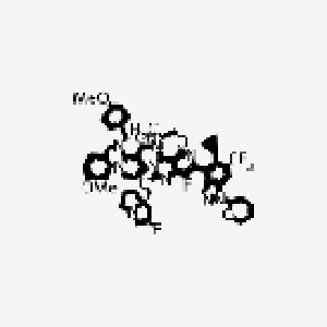 COc1ccc(CN(Cc2ccc(OC)cc2)c2ncccc2[C@@H](C)N2c3nc(OC[C@@]45CCCN4C[C@H](F)C5)nc4c(F)c(-c5c(C6CC6)c(C(F)(F)F)cc6c5cnn6C5CCCCO5)nc(c34)OC[C@@H]2C)cc1